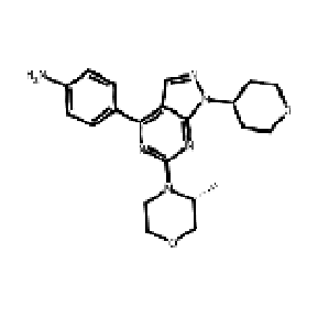 C[C@@H]1COCCN1c1nc(-c2ccc(N)cc2)c2cnn(C3CCOCC3)c2n1